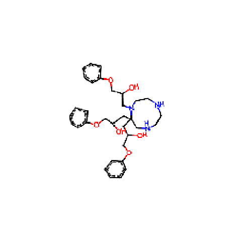 OC(COc1ccccc1)CN1CCNCCNCC1(CC(O)COc1ccccc1)CC(O)COc1ccccc1